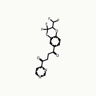 O=C(CCC(=O)c1ccncn1)c1ccc2c(c1)SC(F)(F)C(C(F)F)O2